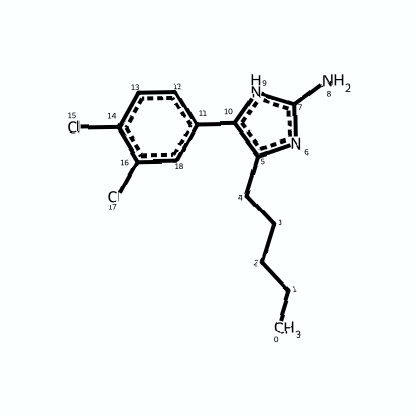 CCCCCc1nc(N)[nH]c1-c1ccc(Cl)c(Cl)c1